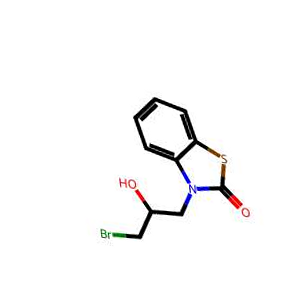 O=c1sc2ccccc2n1CC(O)CBr